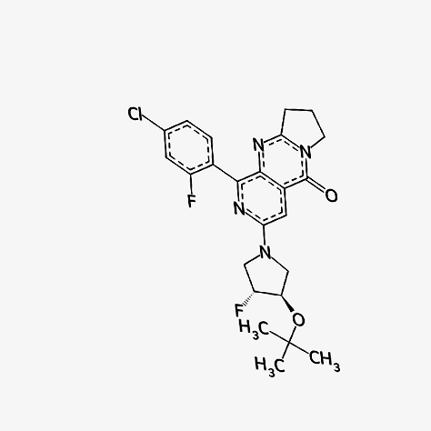 CC(C)(C)O[C@@H]1CN(c2cc3c(=O)n4c(nc3c(-c3ccc(Cl)cc3F)n2)CCC4)C[C@H]1F